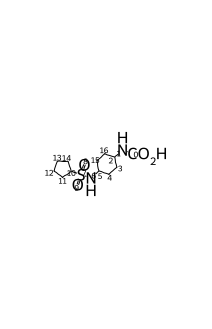 O=C(O)NC1CCC(NS(=O)(=O)C2CCCC2)CC1